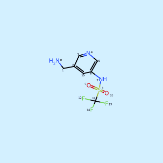 NCc1cncc(NS(=O)(=O)C(F)(F)F)c1